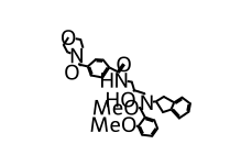 COc1ccccc1[C@@H](OC)N(CC(O)CNC(=O)c1ccc(C(=O)N2CCOCC2)cc1)C1Cc2ccccc2C1